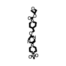 CS(=O)(=O)N1CCN(c2cnc(OCC3CCN(C(=O)OC4COC4)CC3)cn2)CC1